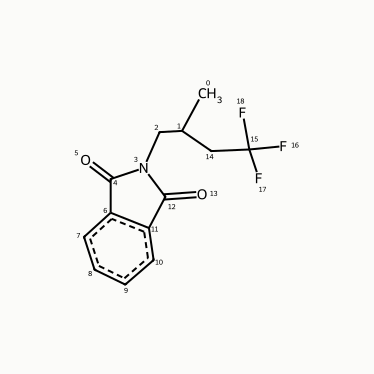 CC(CN1C(=O)c2ccccc2C1=O)CC(F)(F)F